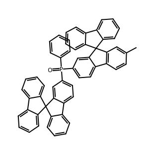 Cc1ccc2c(c1)C1(c3ccccc3-c3ccccc31)c1cc(P(=O)(c3ccccc3)c3ccc4c(c3)C3(c5ccccc5-c5ccccc53)c3ccccc3-4)ccc1-2